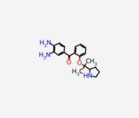 CC(C)(Oc1ccccc1C(=O)c1ccc(N)c(N)c1)C1CCCN1